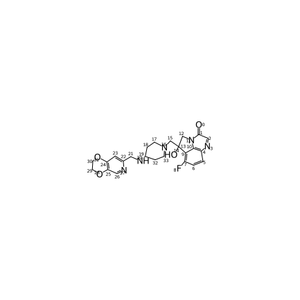 O=c1cnc2ccc(F)c3c2n1CC3(O)CN1CCC(NCc2cc3c(cn2)OCCO3)CC1